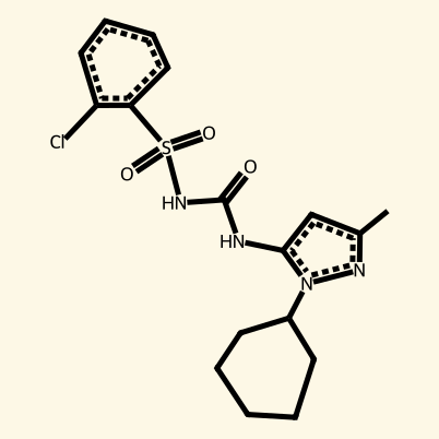 Cc1cc(NC(=O)NS(=O)(=O)c2ccccc2Cl)n(C2CCCCC2)n1